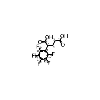 O=C(O)CCC(C(=O)O)c1c(F)c(F)c(F)c(F)c1F